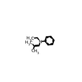 CCN(C=C(C)C)c1ccccc1